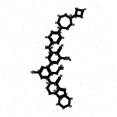 Cn1cc(-c2cc(F)cc(N3CCn4c(cc5c4CCCC5)C3=O)c2CO)cc(Nc2ccc(N3CCCN(C4COC4)CC3)cn2)c1=O